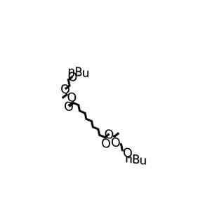 CCCCOCCOC(C)OC(=O)CCCCCCCCC(=O)OC(C)OCCOCCCC